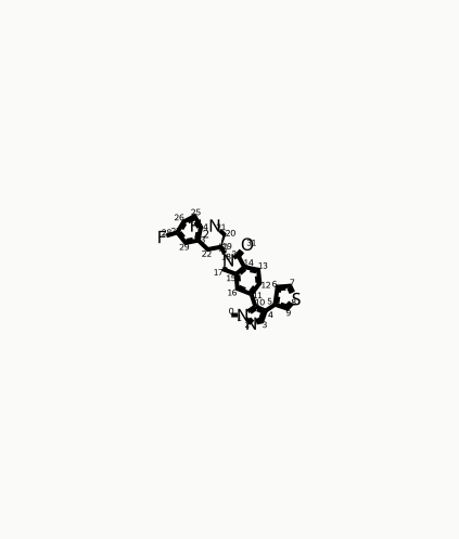 Cn1ncc(-c2ccsc2)c1-c1ccc2c(c1)CN([C@H](CN)Cc1cccc(F)c1)C2=O